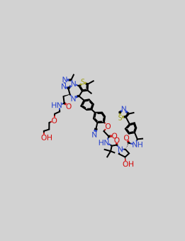 Cc1ncsc1-c1ccc(C(C)NC(=O)[C@@H]2C[C@@H](O)CN2C(=O)C(NC(=O)COc2ccc(-c3ccc(C4=N[C@@H](CC(=O)NCCOCCCO)c5nnc(C)n5-c5sc(C)c(C)c54)cc3)cc2C#N)C(C)(C)C)cc1